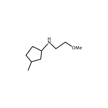 COCCNC1CCC(C)C1